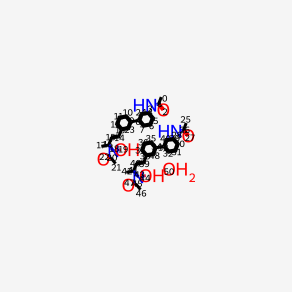 CC(=O)Nc1cccc(-c2cccc(C=CC(C)N(O)C(C)=O)c2)c1.CC(=O)Nc1cccc(-c2cccc(C=CC(C)N(O)C(C)=O)c2)c1.O